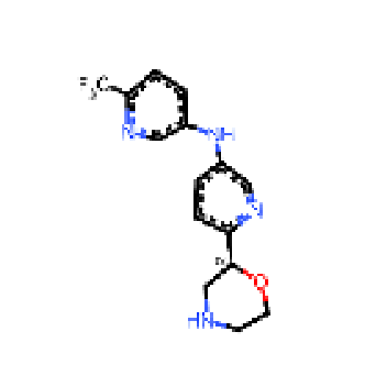 FC(F)(F)c1ccc(Nc2ccc([C@@H]3CNCCO3)nc2)cn1